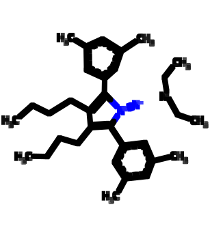 CCCCC1=C(c2cc(C)cc(C)c2)[N+](=[N-])C(c2cc(C)cc(C)c2)=C1CCCC.C[CH2][Ni][CH2]C